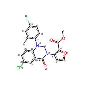 COC(=O)c1occc1N1CN(c2ccc(F)cc2C)c2ccc(Cl)cc2C1=O